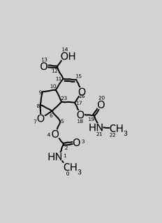 CNC(=O)OCC12OC1CC1C(C(=O)O)=COC(OC(=O)NC)C12